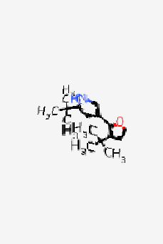 CC(C)(C)c1cc(-c2occc2C(C)(C)C)c[nH]1